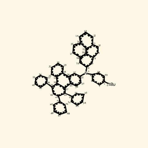 CC(C)(C)c1ccc(N(c2cc3ccc4cccc5ccc(c2)c3c45)c2ccc3c(c2)c2ccccc2c2c(-c4ccccc4)cc(-c4ccccc4)c(-c4ccccc4)c32)cc1